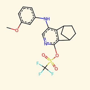 COc1cccc(Nc2cnc(OS(=O)(=O)C(F)(F)F)c3c2C2CCC3C2)c1